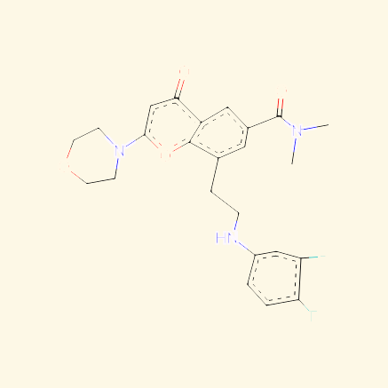 CN(C)C(=O)c1cc(CCNc2ccc(F)c(F)c2)c2oc(N3CCOCC3)cc(=O)c2c1